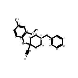 COc1cc(F)ccc1NC1(C#N)CCN(Cc2ccccc2)CC1